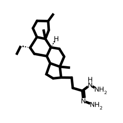 CC[C@H]1CC2C3CCC(CC/C(=N/N)NN)C3(C)CC[C@@H]2C2(C)CC(C)CCC12